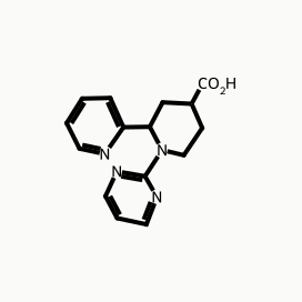 O=C(O)C1CCN(c2ncccn2)C(c2ccccn2)C1